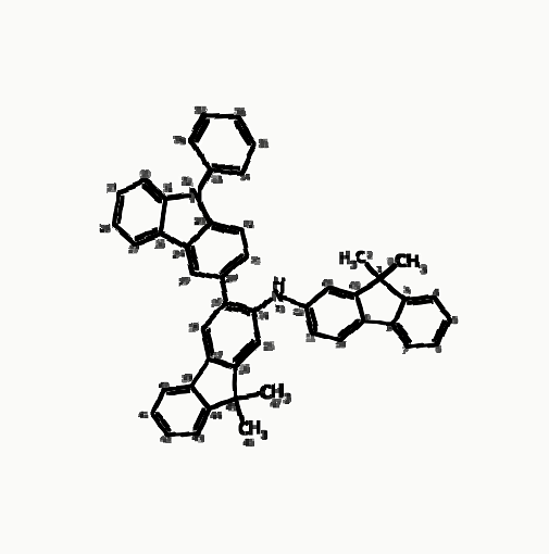 CC1(C)c2ccccc2-c2ccc(Nc3cc4c(cc3-c3ccc5c(c3)c3ccccc3n5-c3ccccc3)-c3ccccc3C4(C)C)cc21